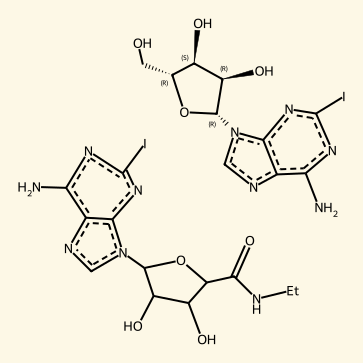 CCNC(=O)C1OC(n2cnc3c(N)nc(I)nc32)C(O)C1O.Nc1nc(I)nc2c1ncn2[C@@H]1O[C@H](CO)[C@@H](O)[C@H]1O